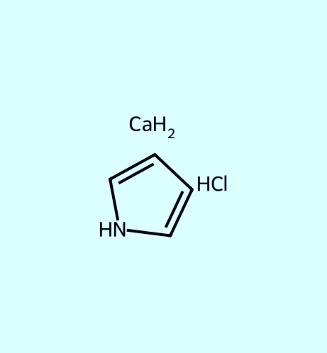 Cl.[CaH2].c1cc[nH]c1